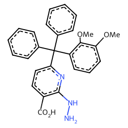 COc1cccc(C(c2ccccc2)(c2ccccc2)c2ccc(C(=O)O)c(NN)n2)c1OC